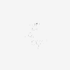 CC(C)NC(=O)NCc1cnc(Oc2ccc(N(C(=O)[C@H]3CC[C@H](C)CC3)C(C)C)c(C(=O)O)c2)c(C(F)(F)F)c1